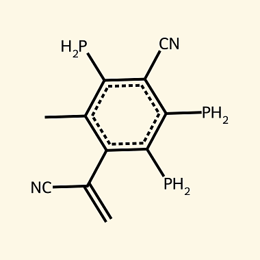 C=C(C#N)c1c(C)c(P)c(C#N)c(P)c1P